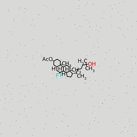 CC(=O)O[C@H]1CC[C@@]2(C)[C@H](C1)CC(F)(F)[C@@H]1[C@@H]2CC[C@]2(C)[C@@H](C(C)CCCC(C)(C)O)CC[C@@H]12